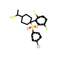 CC(S)C1CCC(c2cc(F)ccc2F)(S(=O)(=O)c2ccc(Cl)cc2)CC1